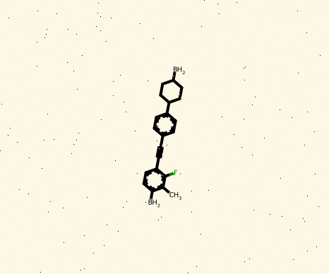 Bc1ccc(C#Cc2ccc(C3CCC(B)CC3)cc2)c(F)c1C